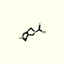 O=C(O)N1Cc2c[nH]cc2C1